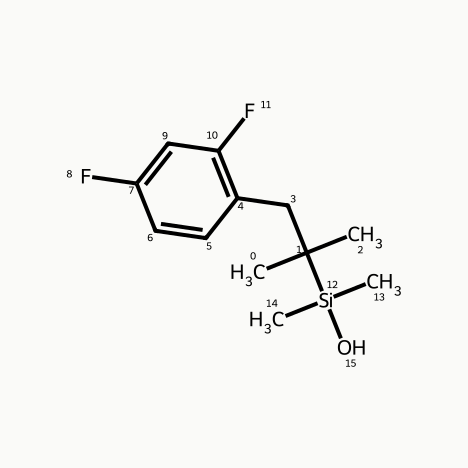 CC(C)(Cc1ccc(F)cc1F)[Si](C)(C)O